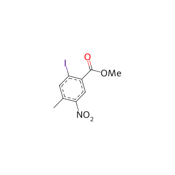 COC(=O)c1cc([N+](=O)[O-])c(C)cc1I